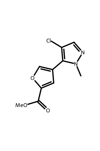 COC(=O)c1cc(-c2c(Cl)cnn2C)co1